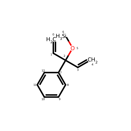 C=CC(C=C)(O[SiH3])c1ccccc1